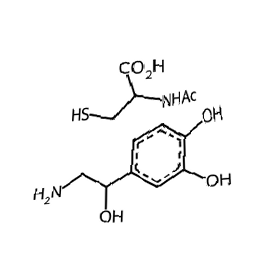 CC(=O)NC(CS)C(=O)O.NCC(O)c1ccc(O)c(O)c1